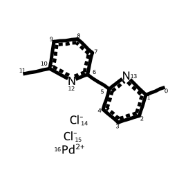 Cc1cccc(-c2cccc(C)n2)n1.[Cl-].[Cl-].[Pd+2]